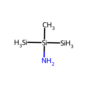 C[Si](N)([SiH3])[SiH3]